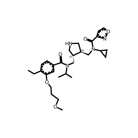 CCc1ccc(C(=O)N(C[C@@H]2CNC[C@H]2CN(C(=O)c2ccon2)C2CC2)C(C)C)cc1OCCCOC